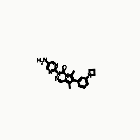 Cc1c(-c2cccc(N3CCC3)c2)c(C)n2c(=O)n(-c3ncc(N)cn3)ncc12